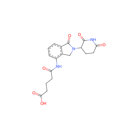 O=C(O)CCCC(=O)Nc1cccc2c1CN(C1CCC(=O)NC1=O)C2=O